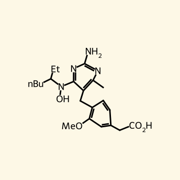 CCCCC(CC)N(O)c1nc(N)nc(C)c1Cc1ccc(CC(=O)O)cc1OC